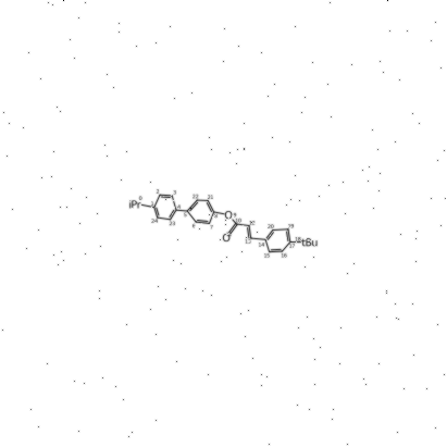 CC(C)c1ccc(-c2ccc(OC(=O)/C=C/c3ccc(C(C)(C)C)cc3)cc2)cc1